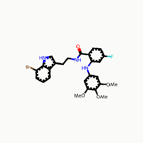 COc1cc(Nc2cc(F)ccc2C(=O)NCCc2c[nH]c3c(Br)cccc23)cc(OC)c1OC